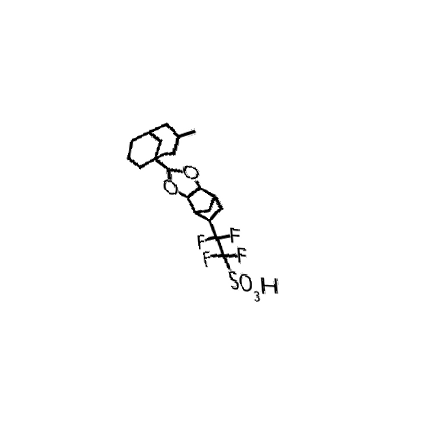 CC1CC2CCCC(C3OC4C5CC(C4O3)C(C(F)(F)C(F)(F)S(=O)(=O)O)C5)(C1)C2